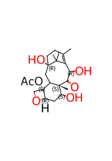 CC(=O)O[C@@]12CO[C@@H]1C[C@H](O)[C@@]1(C)C(=O)[C@H](O)C3=C(C)CC[C@@](O)(CC12)C3(C)C